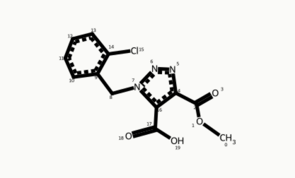 COC(=O)c1nnn(Cc2ccccc2Cl)c1C(=O)O